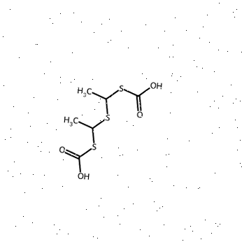 CC(SC(=O)O)SC(C)SC(=O)O